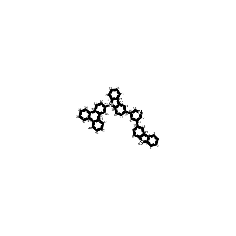 c1ccc2c(c1)sc1ccc(-c3cncc(-c4ccc5c(c4)c4ccccc4n5-c4ccc5c6ccccc6c6ccccc6c5c4)c3)cc12